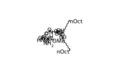 CCCCCCCC/C=C\CCCCCCCC(=O)OC(COP(=O)(O)OCCNC(=O)c1ccc(Cn2c(=O)[nH]c3c(N)nc(OCCOC)nc32)cc1)OC(=O)CCCCCCC/C=C\CCCCCCCC